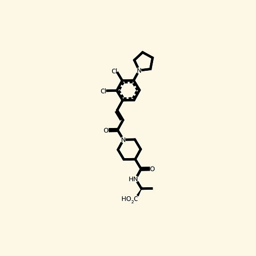 C[C@H](NC(=O)C1CCN(C(=O)/C=C/c2ccc(N3CCCC3)c(Cl)c2Cl)CC1)C(=O)O